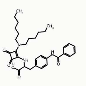 CCCCCCN(CCCCCC)c1c(NC(Cc2ccc(NC(=O)c3ccccc3)cc2)C(=O)O)c(=O)c1=O